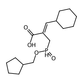 O=C(O)/C(=C/C1CCCCC1)C[PH](=O)OCC1CCCC1